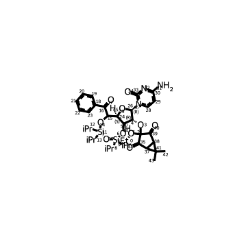 CCOC1(O[C@@H]2[C@@H]3O[Si](C(C)C)(C(C)C)O[Si](C(C)C)(C(C)C)OC(C(=O)c4ccccc4)[C@H]3O[C@H]2n2ccc(N)nc2=O)C(=O)C2C(C1=O)C2(C)C